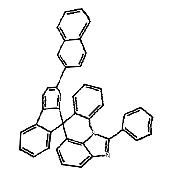 c1ccc(-c2nc3cccc4c3n2-c2ccccc2C42c3ccccc3-c3ccc(-c4ccc5ccccc5c4)cc32)cc1